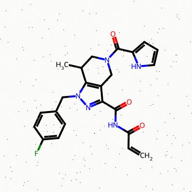 C=CC(=O)NC(=O)c1nn(Cc2ccc(F)cc2)c2c1CN(C(=O)c1ccc[nH]1)CC2C